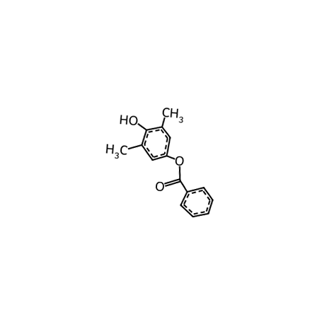 Cc1cc(OC(=O)c2ccccc2)cc(C)c1O